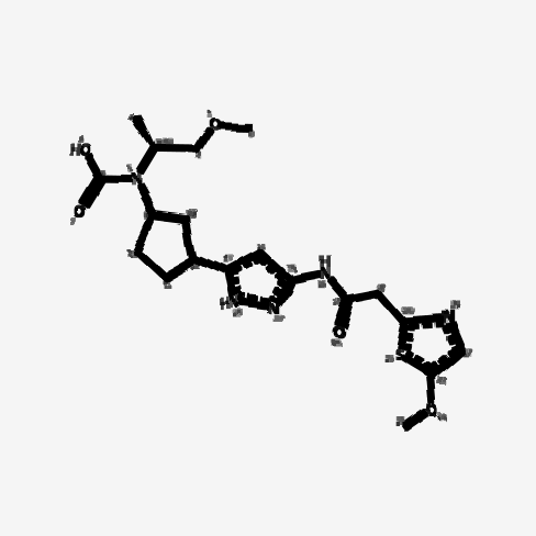 COC[C@H](C)N(C(=O)O)C1CCC(c2cc(NC(=O)Cc3ncc(OC)s3)n[nH]2)C1